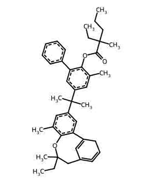 CCCC(C)(CC)C(=O)Oc1c(C)cc(C(C)(C)c2cc(C)c3c(c2)C2=CC(=C=CC2)CC(C)(CC)O3)cc1-c1ccccc1